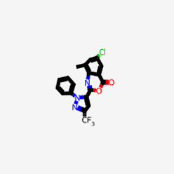 Cc1cc(Cl)cc2c(=O)oc(-c3cc(C(F)(F)F)nn3-c3ccccc3)nc12